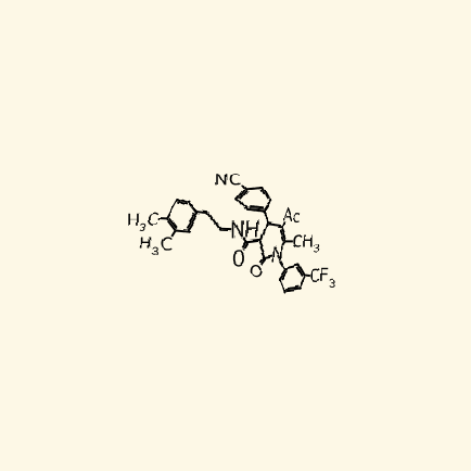 CC(=O)C1=C(C)N(c2cccc(C(F)(F)F)c2)C(=O)C(C(=O)NCCc2ccc(C)c(C)c2)C1c1ccc(C#N)cc1